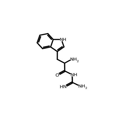 N=C(N)NC(=O)C(N)Cc1c[nH]c2ccccc12